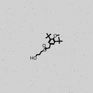 COc1c(C(C)(C)C)cc(CC(=O)OCCCO)cc1C(C)(C)C